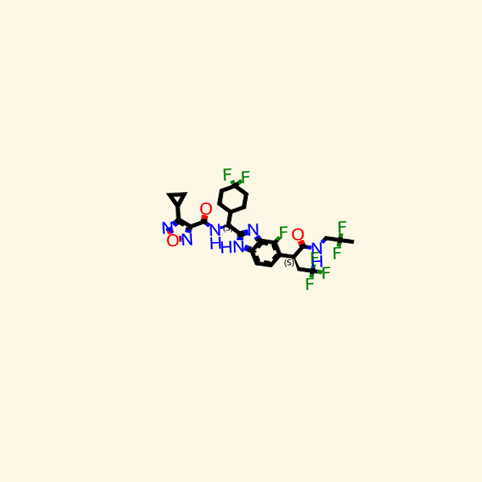 CC(F)(F)CNC(=O)[C@@H](CC(F)(F)F)c1ccc2[nH]c([C@@H](NC(=O)c3nonc3C3CC3)C3CCC(F)(F)CC3)nc2c1F